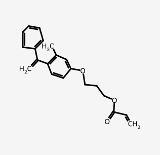 C=CC(=O)OCCCOc1ccc(C(=C)c2ccccc2)c(C)c1